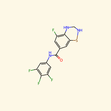 O=C(Nc1cc(F)c(F)c(F)c1)c1cc(F)c2c(c1)SNCN2